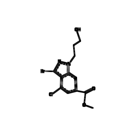 COC(=O)c1cc(Cl)c2c(Br)nn(CCCO)c2c1